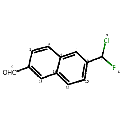 O=Cc1ccc2cc(C(F)Cl)ccc2c1